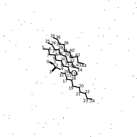 C=CC(=C)C.CCCCCCCCC=O.CCCCCCCCCC.CCCCCCCCCC.CCCCCCCCCC